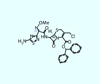 CO/N=C(\C(=O)NC1C(=O)N2C(C(=O)OC(c3ccccc3)c3ccccc3)=C(CCl)CS[C@H]12)c1nsc(N)n1